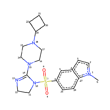 Cn1ccc2cc(S(=O)(=O)N3CCN=C3N3CCN(C4CCC4)CC3)ccc21